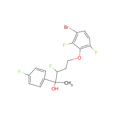 CC(O)(c1ccc(F)cc1)C(F)CCOc1c(F)ccc(Br)c1F